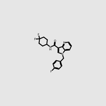 O=C(NC1CCC(F)(F)CC1)c1cn(Cc2ccc(F)cc2)c2cccnc12